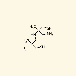 C[C@@](N)(CS)CN[C@](C)(CN)CS